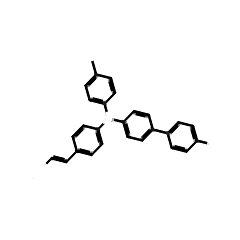 CCCc1ccc(-c2ccc(N(c3ccc(C)cc3)c3ccc(/C=C/C(=O)O)cc3)cc2)cc1